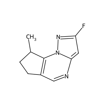 CC1CCc2cnc3cc(F)nn3c21